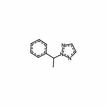 CC(c1ccccc1)n1nccn1